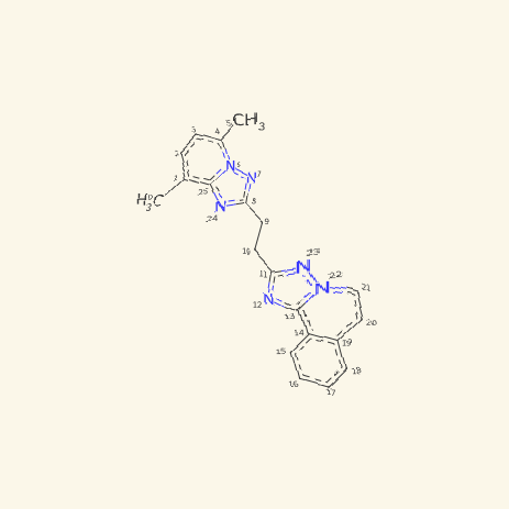 Cc1ccc(C)n2nc(CCc3nc4c5ccccc5ccn4n3)nc12